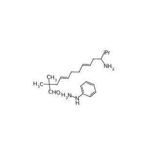 CC(C)C(N)CC=CCCC=CCC(C)(C)C=O.NNc1ccccc1